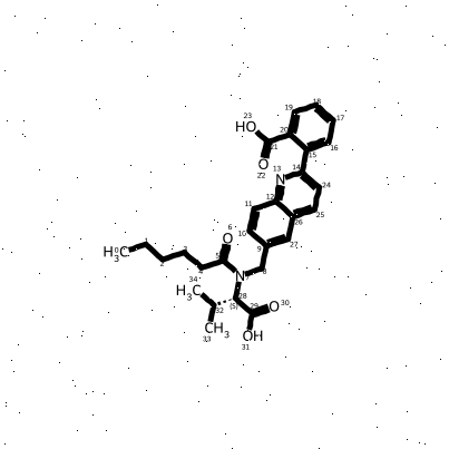 CCCCCC(=O)N(Cc1ccc2nc(-c3ccccc3C(=O)O)ccc2c1)[C@H](C(=O)O)C(C)C